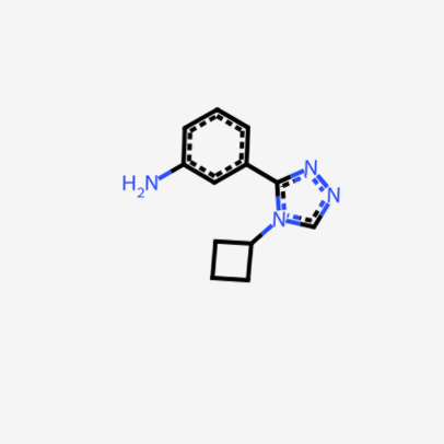 Nc1cccc(-c2nncn2C2CCC2)c1